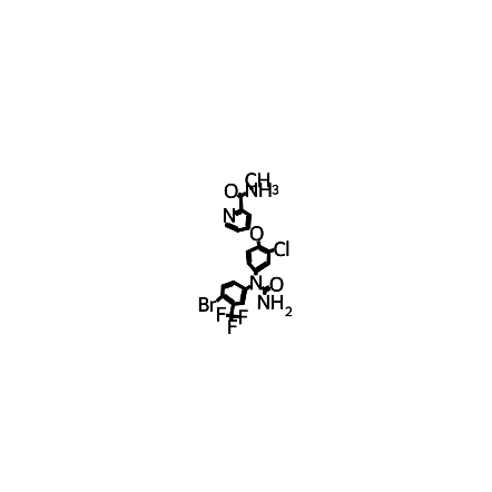 CNC(=O)c1cc(Oc2ccc(N(C(N)=O)c3ccc(Br)c(C(F)(F)F)c3)cc2Cl)ccn1